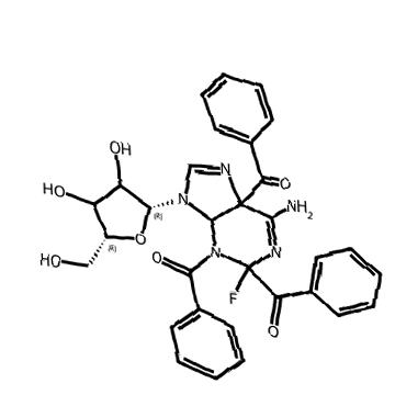 NC1=NC(F)(C(=O)c2ccccc2)N(C(=O)c2ccccc2)C2N([C@@H]3O[C@H](CO)C(O)C3O)C=NC12C(=O)c1ccccc1